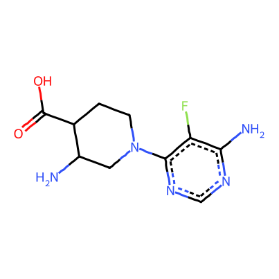 Nc1ncnc(N2CCC(C(=O)O)C(N)C2)c1F